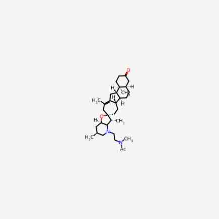 CC(=O)N(C)CCN1C[C@@H](C)C[C@H]2O[C@]3(CC[C@@H]4C(=C(C)C3)C[C@H]3[C@H]4CC[C@@H]4CC(=O)CC[C@@]43C)[C@H](C)C21